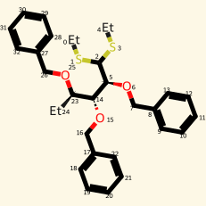 CCSC(SCC)[C@@H](OCc1ccccc1)[C@H](OCc1ccccc1)[C@@H](CC)OCc1ccccc1